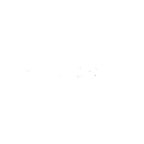 BCCOc1ccc(-c2ccc(-c3ccc(C4CCC(CC/C=C/C)OC4)cc3C)cc2)c(F)c1F